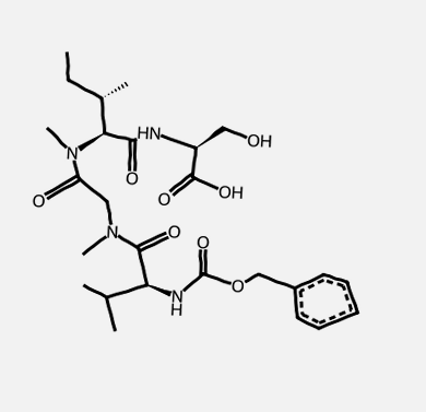 CC[C@H](C)[C@@H](C(=O)N[C@@H](CO)C(=O)O)N(C)C(=O)CN(C)C(=O)[C@@H](NC(=O)OCc1ccccc1)C(C)C